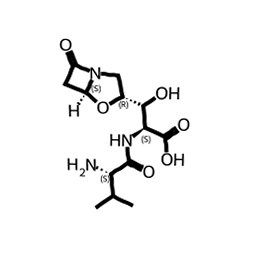 CC(C)[C@H](N)C(=O)N[C@H](C(=O)O)C(O)[C@H]1CN2C(=O)C[C@@H]2O1